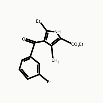 CCOC(=O)c1[nH]c(CC)c(C(=O)c2cccc(Br)c2)c1C